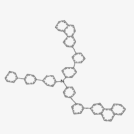 c1ccc(-c2ccc(-c3ccc(N(c4ccc(-c5cccc(-c6ccc7c(ccc8ccccc87)c6)c5)cc4)c4ccc(-c5cccc(-c6ccc7c(ccc8ccccc87)c6)c5)cc4)cc3)cc2)cc1